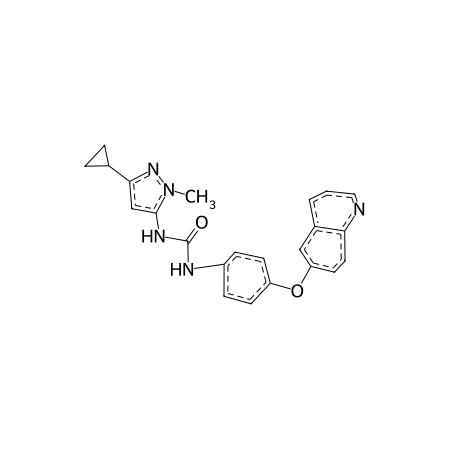 Cn1nc(C2CC2)cc1NC(=O)Nc1ccc(Oc2ccc3ncccc3c2)cc1